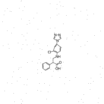 O=C(O)C(CNc1ccc(-n2cnnc2)cc1Cl)c1ccccc1